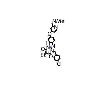 CCn1c(=O)[nH]/c(=N\C2C=CC(Oc3ccnc(CNC)c3)=CC2)n(Cc2ccc(Cl)cc2)c1=O